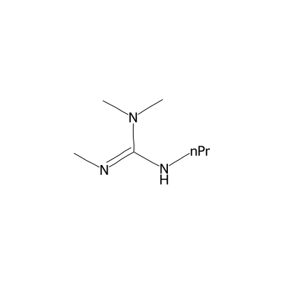 [CH2]CCNC(=NC)N(C)C